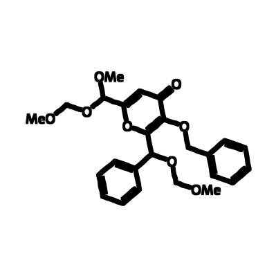 COCOC(OC)c1cc(=O)c(OCc2ccccc2)c(C(OCOC)c2ccccc2)o1